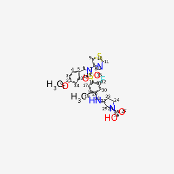 COc1ccc(CN(c2cscn2)S(=O)(=O)c2cc(C)c(NC3CCN(C(=O)O)C3)cc2F)cc1